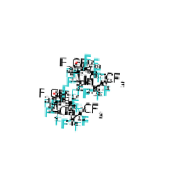 FC(F)(F)C(F)(F)[C](F)(F)[Ga]([C](F)(F)C(F)(F)C(F)(F)F)[C](F)(F)C(F)(F)C(F)(F)F.FC(F)(F)C(F)(F)[C](F)(F)[In]([C](F)(F)C(F)(F)C(F)(F)F)[C](F)(F)C(F)(F)C(F)(F)F